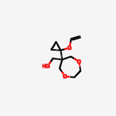 C=COC1(C2(CO)COCCOC2)CC1